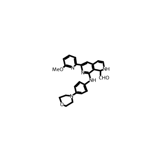 COc1cccc(-c2cc3c(c(Nc4ccc(N5CCOCC5)cc4)n2)C(C=O)NC=C3)n1